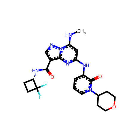 CNc1cc(Nc2cccn(C3CCOCC3)c2=O)nc2c(C(=O)N[C@H]3CCC3(F)F)cnn12